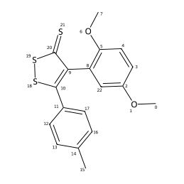 COc1ccc(OC)c(-c2c(-c3ccc(C)cc3)ssc2=S)c1